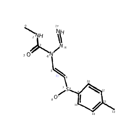 CNC(=O)N(/C=C/[S+]([O-])c1ccc(C)cc1)N=N